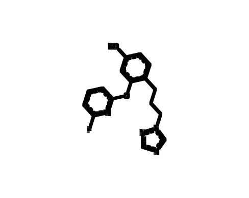 Oc1ccc(CCCn2cncn2)c(Oc2cccc(F)n2)c1